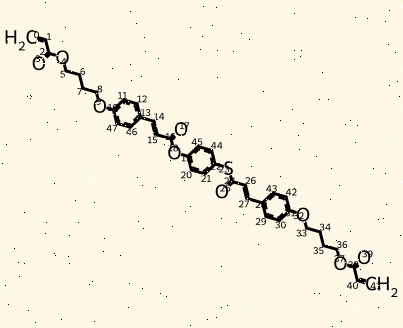 C=CC(=O)OCCCCOc1ccc(/C=C/C(=O)Oc2ccc(SC(=O)/C=C/c3ccc(OCCCCOC(=O)C=C)cc3)cc2)cc1